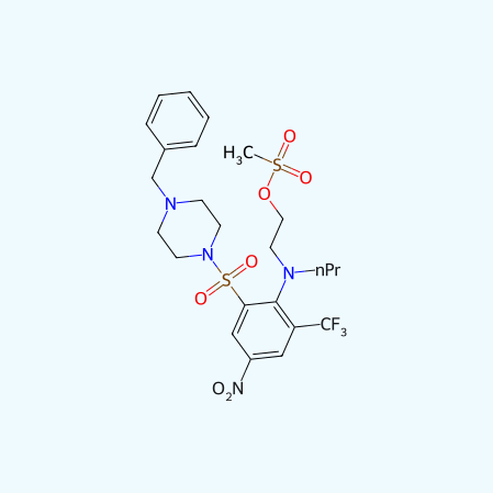 CCCN(CCOS(C)(=O)=O)c1c(C(F)(F)F)cc([N+](=O)[O-])cc1S(=O)(=O)N1CCN(Cc2ccccc2)CC1